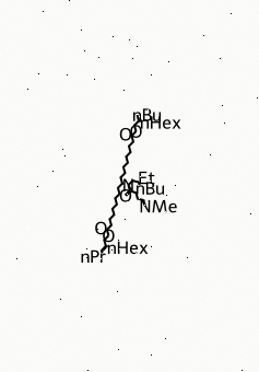 CCC/C=C(\CCCCCC)COC(=O)CCCCCCCCC(CCCCCCCCC(=O)OCC(CCCC)CCCCCC)N(CC(CC)CCCC)C(=O)CCCNC